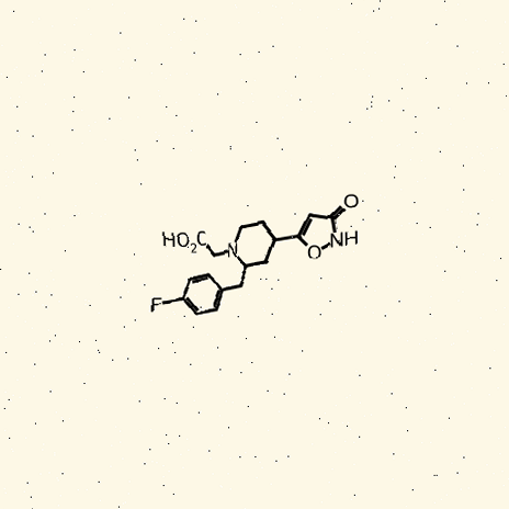 O=C(O)CN1CCC(c2cc(=O)[nH]o2)CC1Cc1ccc(F)cc1